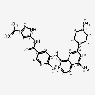 C=C(C)c1cc(NC(=O)c2ccc(C)c(Nc3ncnc4c(N)nc(N5CCN(C)CC5)nc34)c2)[nH]n1